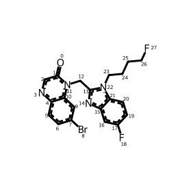 O=c1cnc2ccc(Br)cc2n1Cc1nc2cc(F)ccc2n1CCCCF